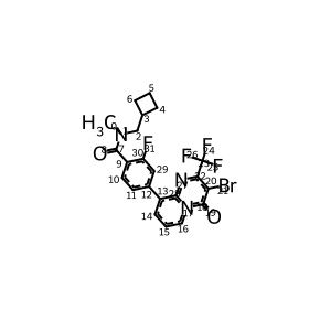 CN(CC1CCC1)C(=O)c1ccc(-c2cccn3c(=O)c(Br)c(C(F)(F)F)nc23)cc1F